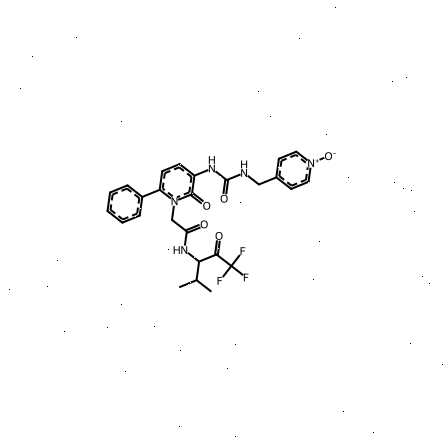 CC(C)C(NC(=O)Cn1c(-c2ccccc2)ccc(NC(=O)NCc2cc[n+]([O-])cc2)c1=O)C(=O)C(F)(F)F